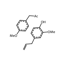 C=CCc1ccc(O)c(OC)c1.COc1ccc(CC(C)=O)cc1